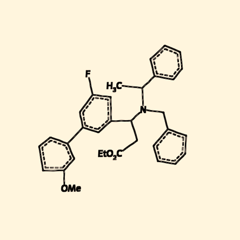 CCOC(=O)CC(c1cc(F)cc(-c2cccc(OC)c2)c1)N(Cc1ccccc1)C(C)c1ccccc1